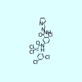 O=C(NN=Cc1ccccn1)c1cc(NC(=O)[C@H]2[C@H](c3cc(Cl)cc(Cl)c3)C2(Cl)Cl)ccc1Cl